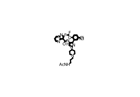 CC(=O)NCCCN1CCC(n2cc(NC(=O)c3cnn4cccnc34)c(-c3cc(Cl)ccc3OC(F)F)n2)CC1.Cl